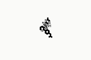 COc1nc(C)cnc1NS(=O)(=O)c1cccnc1-c1ccc(CC(C)C)cc1